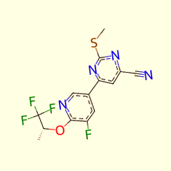 CSc1nc(C#N)cc(-c2cnc(O[C@H](C)C(F)(F)F)c(F)c2)n1